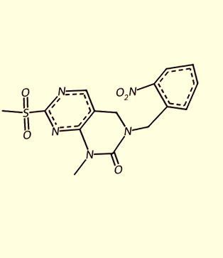 CN1C(=O)N(Cc2ccccc2[N+](=O)[O-])Cc2cnc(S(C)(=O)=O)nc21